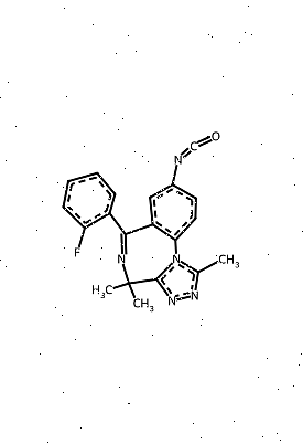 Cc1nnc2n1-c1ccc(N=C=O)cc1C(c1ccccc1F)=NC2(C)C